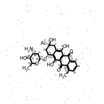 CC(=O)[C@]1(O)Cc2c(O)c3c(c(O)c2[C@@H](O[C@H]2C[C@@H](N)[C@H](O)C(C)O2)C1)C(=O)c1c(C)cccc1C3=O